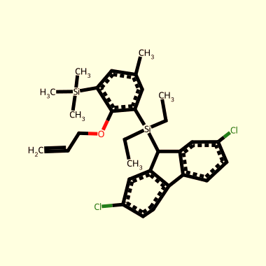 C=CCOc1c([Si](C)(C)C)cc(C)cc1[Si](CC)(CC)C1c2cc(Cl)ccc2-c2ccc(Cl)cc21